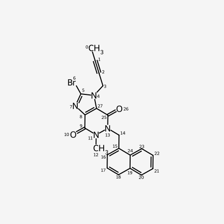 CC#CCn1c(Br)nc2c(=O)n(C)n(Cc3cccc4ccccc34)c(=O)c21